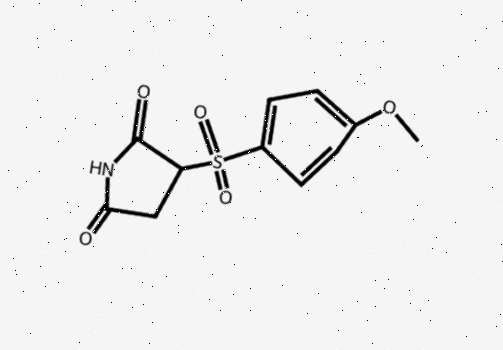 COc1ccc(S(=O)(=O)C2CC(=O)NC2=O)cc1